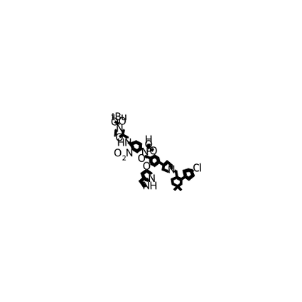 CC1(C)CCC(CN2CC=C(c3ccc(C(=O)N(c4ccc(NCC5CN(C(=O)OC(C)(C)C)CCO5)c([N+](=O)[O-])c4)[SH](=O)=O)c(Oc4cnc5[nH]ccc5c4)c3)CC2)=C(c2ccc(Cl)cc2)C1